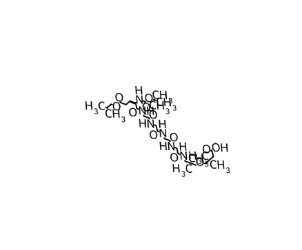 CC(C)COC(=O)C/C=C(/NC(=O)OC(C)(C)C)C(=O)NCC(=O)NCC(=O)NCC(=O)NCC(=O)NCC(C)(C)COCC(C)(C)CC(=O)O